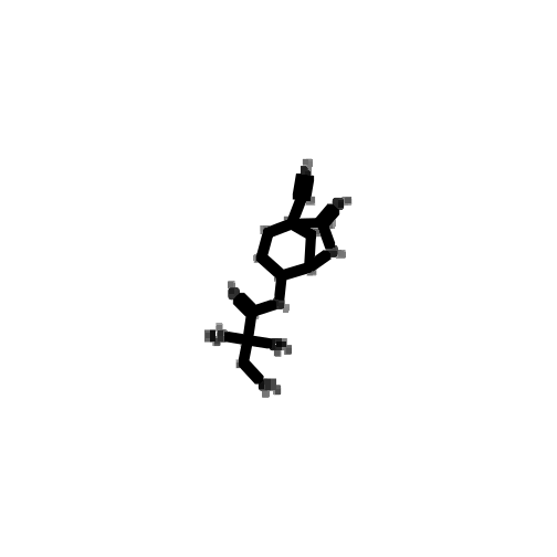 CCC(C)(C)C(=O)OC1CCC2(C#N)CC1OC2=O